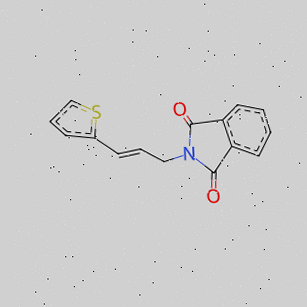 O=C1c2ccccc2C(=O)N1C/C=C/c1cccs1